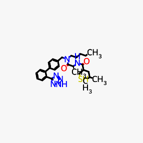 CCCCCN(Cc1ccc(-c2ccccc2-c2nn[nH]n2)cc1)C(=O)[C@H](C)NC(=O)C(CS)CC(C)C